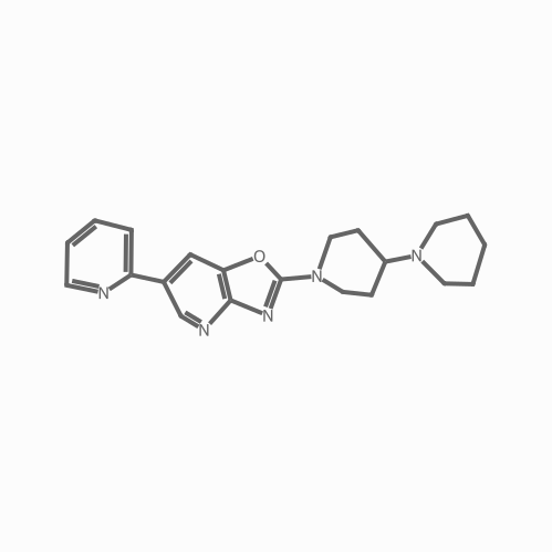 c1ccc(-c2cnc3nc(N4CCC(N5CCCCC5)CC4)oc3c2)nc1